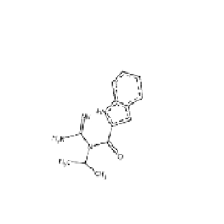 CC(C)N(C(=N)N)C(=O)c1cc2ccccc2[nH]1